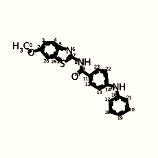 COc1ccc2nc(NC(=O)c3ccc(Nc4ccccc4)cc3)sc2c1